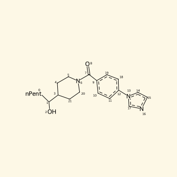 CCCCCC(O)C1CCN(C(=O)c2ccc(-n3ccnc3)cc2)CC1